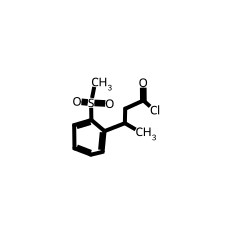 CC(CC(=O)Cl)c1ccccc1S(C)(=O)=O